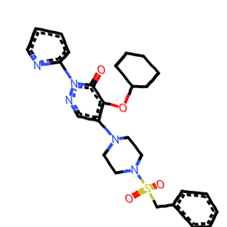 O=c1c(OC2CCCCC2)c(N2CCN(S(=O)(=O)Cc3ccccc3)CC2)cnn1-c1ccccn1